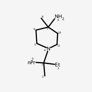 CCCC(C)(CC)N1CCC(C)(N)CC1